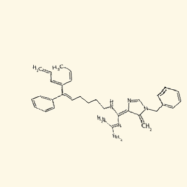 C=C/C=C(\C=C/C)C(=C\CCCCN/C(N=C(N)N)=c1\ncn(Cc2ccccc2)c1=C)/c1ccccc1